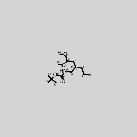 CCC[C@@H](CNC(=O)OC(C)(C)C)CC(OC)OC